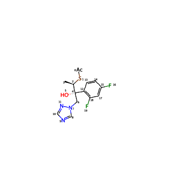 CC(=O)S[C@H](C)[C@](O)(Cn1cncn1)c1ccc(F)cc1F